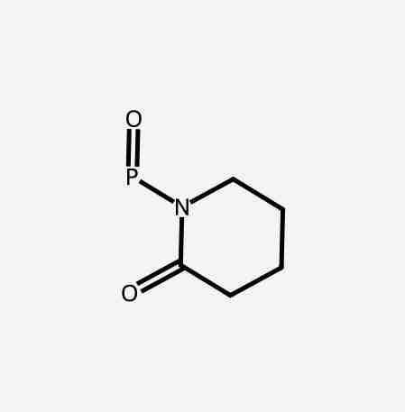 O=PN1CCCCC1=O